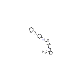 Cn1cccc1/C=C/C(=O)CC(=O)/C=C/c1ccc(OCc2ccccn2)cc1